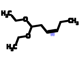 CC/C=C\CC(OCC)OCC